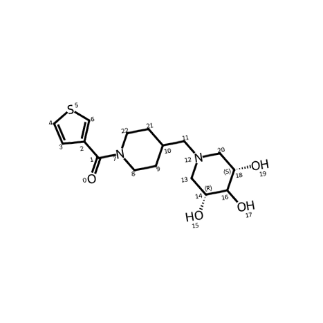 O=C(c1ccsc1)N1CCC(CN2C[C@@H](O)C(O)[C@@H](O)C2)CC1